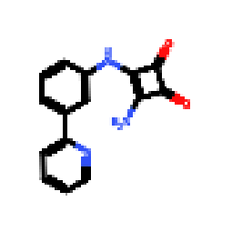 Nc1c(Nc2cccc(-c3ccccn3)c2)c(=O)c1=O